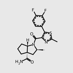 [CH2][C@H]1C[C@@]2(C(N)=O)CCC[C@@H]2N1C(=O)c1nc(C)sc1-c1ccc(F)c(F)c1